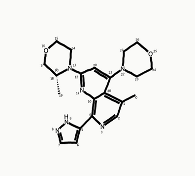 Cc1cnc(-c2ccn[nH]2)c2nc(N3CCOC[C@H]3C)cc(N3CCOCC3)c12